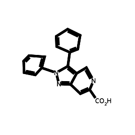 O=C(O)c1cc2nn(-c3ccccc3)c(-c3ccccc3)c2cn1